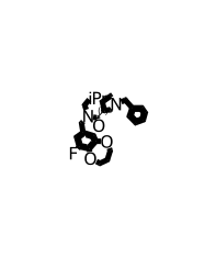 CC(C)CN(Cc1cc(F)c2c(c1)OCCCO2)C(=O)[C@@H]1CCN(Cc2ccccc2)C1